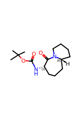 CC(C)(C)OC(=O)N[C@H]1CCC[C@H]2CCCCN2C1=O